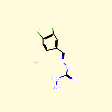 Br.N=C(NN)N/N=C/c1ccc(Cl)c(Cl)c1